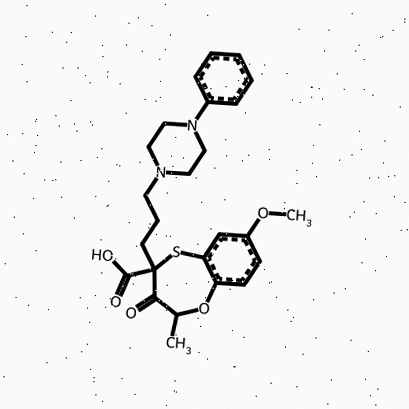 COc1ccc2c(c1)SC(CCCN1CCN(c3ccccc3)CC1)(C(=O)O)C(=O)C(C)O2